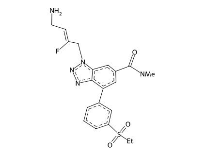 CCS(=O)(=O)c1cccc(-c2cc(C(=O)NC)cc3c2nnn3C/C(F)=C/CN)c1